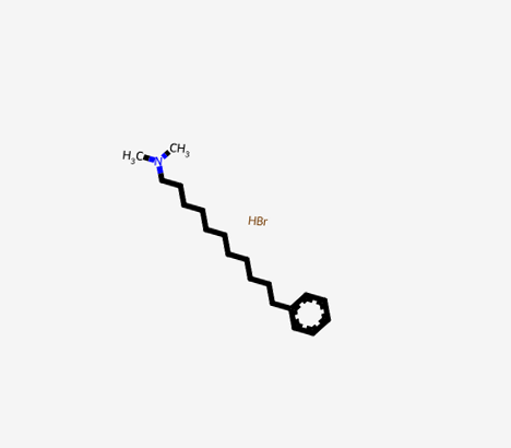 Br.CN(C)CCCCCCCCCCCc1ccccc1